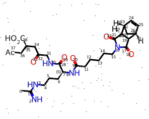 CC(=N)NCCC[C@H](NC(=O)CCCCCN1C(=O)C2[C@@H](C1=O)[C@@H]1C=C[C@H]2C1)C(=O)NCC(=O)C[C@@H](CC(C)=O)C(=O)O